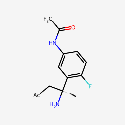 CC(=O)C[C@](C)(N)c1cc(NC(=O)C(F)(F)F)ccc1F